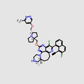 C#Cc1c(F)ccc2cccc(-c3nc4c5c(nc(OC[C@@]67CCCN6[C@H](COc6cnnc(C(F)(F)F)c6)CC7)nc5c3F)N3CCN[C@@H](C)[C@H]3CCC4)c12